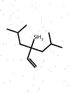 C=CC([SiH3])(CC(C)C)CC(C)C